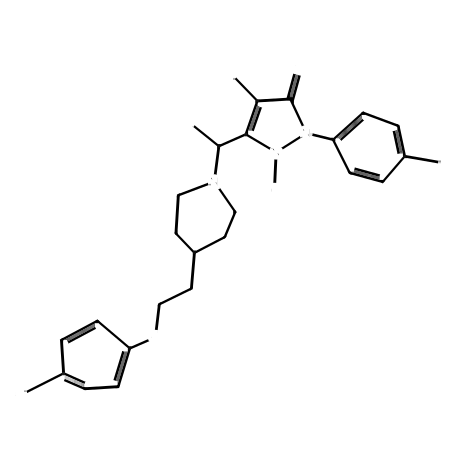 CC(c1c(Cl)c(=O)n(-c2ccc(F)cc2)n1C)N1CCC(CCOc2ccc(Cl)cc2)CC1